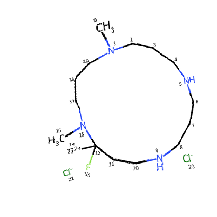 CN1CCCNCCCNCC[C](F)([Ti+2])N(C)CCC1.[Cl-].[Cl-]